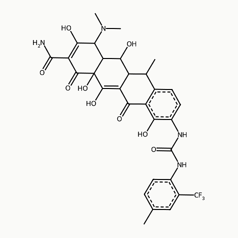 Cc1ccc(NC(=O)Nc2ccc3c(c2O)C(=O)C2=C(O)C4(O)C(=O)C(C(N)=O)=C(O)C(N(C)C)C4C(O)C2C3C)c(C(F)(F)F)c1